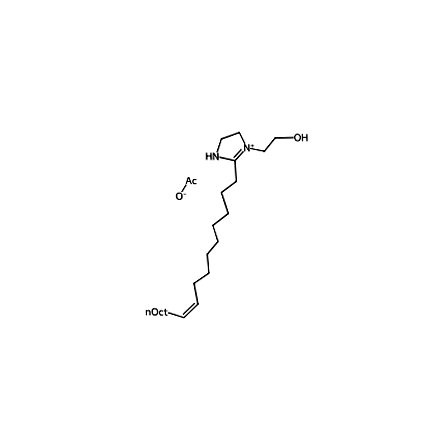 CC(=O)[O-].CCCCCCCC/C=C\CCCCCCCCC1=[N+](CCO)CCN1